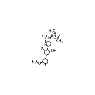 COc1cc(-c2cc(O)c(-c3ccc(N(C)C4C[C@]5(C)CC[C@](C)(C4)N5)nn3)c(F)c2)ccn1